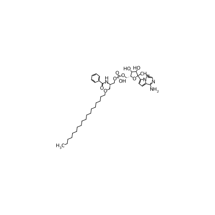 CCCCCCCCCCCCCCCCCCOC[C@H](COP(=O)(O)OC[C@H]1O[C@@](C)(c2ccc3c(N)ncnn23)[C@H](O)[C@@H]1O)NC(=O)c1ccccc1